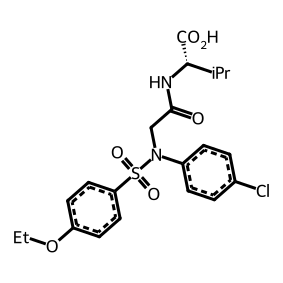 CCOc1ccc(S(=O)(=O)N(CC(=O)N[C@H](C(=O)O)C(C)C)c2ccc(Cl)cc2)cc1